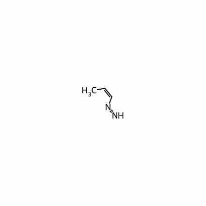 C/C=C\N=N